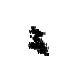 C=C1C[C@@]2(C)CCC3[C@](C)(C(=O)OC(O)/C(OC(O)/C(O)=C(\O)C(O)CCO)=C(/O)C(O)CCO)CCC[C@@]3(C)[C@@H]2CCC1OC(O)/C(OC1CC(CO)C(O)C(O)C1O)=C(\OC(O)/C(O)=C(/O)C(O)CCO)C(O)CCOC(O)/C(O)=C(\O)C(O)CCO